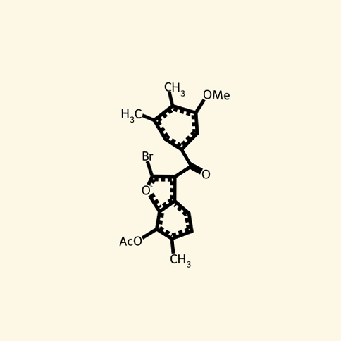 COc1cc(C(=O)c2c(Br)oc3c(OC(C)=O)c(C)ccc23)cc(C)c1C